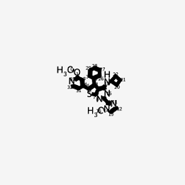 COc1cc(-c2sc3nc(-c4nccn4C)nc(NC4CCC4)c3c2-c2ccccc2)ccn1